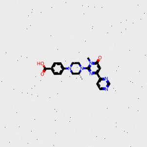 C[C@@H]1CN(c2ccc(C(=O)O)cc2)CCN1c1nc(-c2ccncn2)cc(=O)n1C